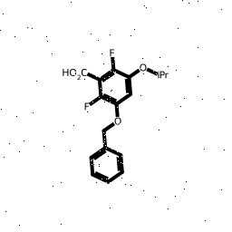 CC(C)Oc1cc(OCc2ccccc2)c(F)c(C(=O)O)c1F